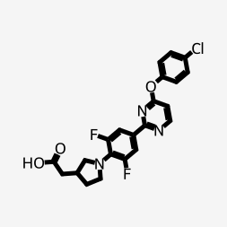 O=C(O)CC1CCN(c2c(F)cc(-c3nccc(Oc4ccc(Cl)cc4)n3)cc2F)C1